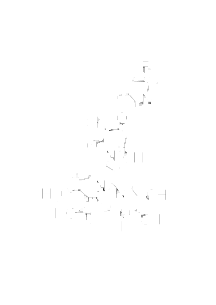 C/C(=C/N=C(\C=C\n1c(C)cc(OCc2ncc(F)cc2F)c(Cl)c1=O)n1ccc(C)c(C(C)C)c1=O)[C@H](C)O